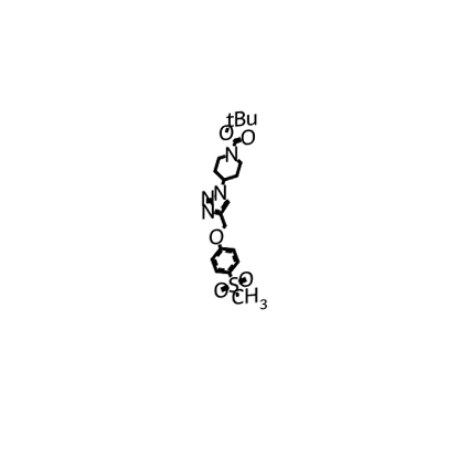 CC(C)(C)OC(=O)N1CCC(n2cc(COc3ccc(S(C)(=O)=O)cc3)nn2)CC1